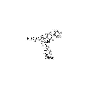 CCOC(=O)c1cc2c(NCc3ccc(OC)cc3)nc3cc(-c4ccccn4)ccc3n2c1